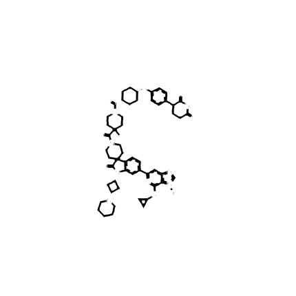 CC(C)n1cnc2cc(-c3ccc4c(c3)N([C@H]3C[C@@H](N5CCCCC5)C3)C(=O)C43CCN(C(=O)C4(C)CCN(C(=O)[C@H]5CC[C@H](Nc6ccc(C7CCC(=O)NC7=O)cc6)CC5)CC4)CC3)nc(NC3CC3)c21